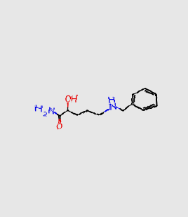 NC(=O)[C@@H](O)CCCNCc1ccccc1